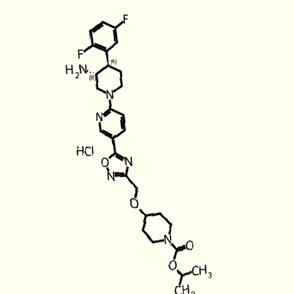 CC(C)OC(=O)N1CCC(OCc2noc(-c3ccc(N4CC[C@H](c5cc(F)ccc5F)[C@@H](N)C4)nc3)n2)CC1.Cl